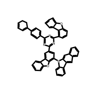 C1=CCCC(c2ccc(-c3nc(-c4cc(-n5c6ccccc6c6cc7ccccc7cc65)c5oc6ccccc6c5c4)nc(-c4cccc5oc6ccccc6c45)n3)cc2)=C1